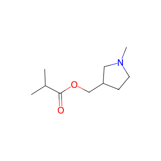 CC(C)C(=O)OCC1CCN(C)C1